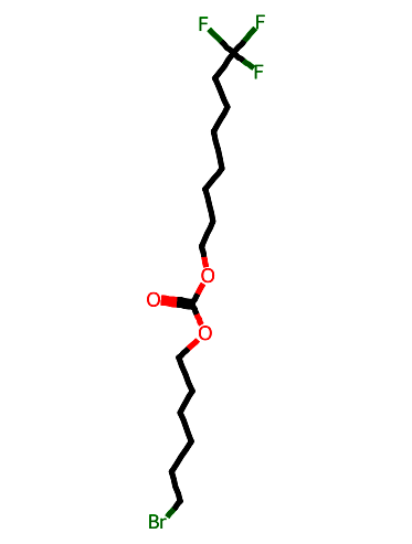 O=C(OCCCCCCBr)OCCCCCCCC(F)(F)F